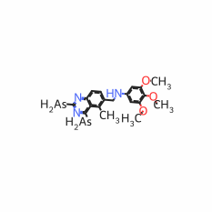 COc1cc(NCc2ccc3nc([AsH2])nc([AsH2])c3c2C)cc(OC)c1OC